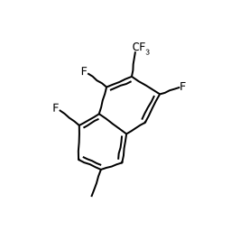 Cc1cc(F)c2c(F)c(C(F)(F)F)c(F)cc2c1